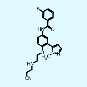 Cn1nccc1-c1cc(NC(=O)c2cccc(F)c2)ccc1OCCNCCC#N